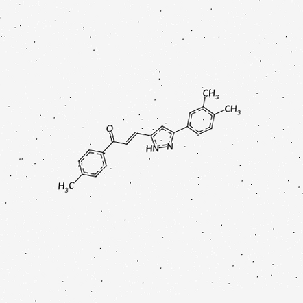 Cc1ccc(C(=O)C=Cc2cc(-c3ccc(C)c(C)c3)n[nH]2)cc1